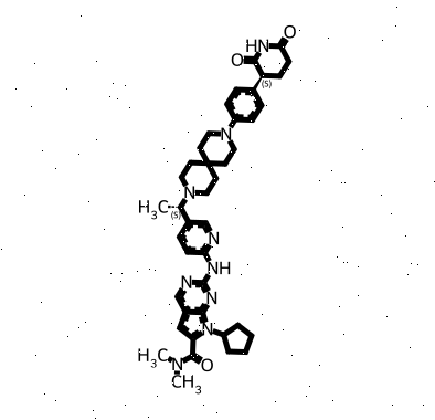 C[C@@H](c1ccc(Nc2ncc3cc(C(=O)N(C)C)n(C4CCCC4)c3n2)nc1)N1CCC2(CCN(c3ccc([C@@H]4CCC(=O)NC4=O)cc3)CC2)CC1